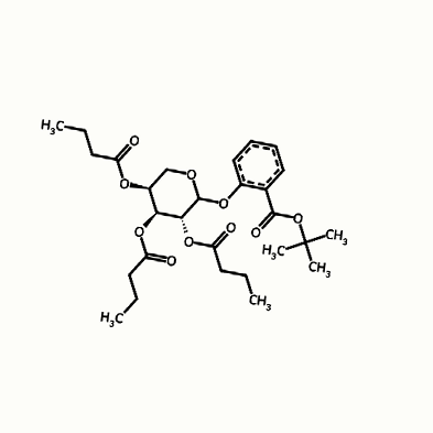 CCCC(=O)O[C@H]1[C@@H](OC(=O)CCC)COC(Oc2ccccc2C(=O)OC(C)(C)C)[C@@H]1OC(=O)CCC